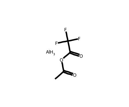 CC(=O)OC(=O)C(F)(F)F.[AlH3]